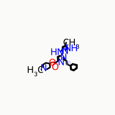 Cc1cc(Nc2cc(C(=O)OC3CCN(C)CC3)nc(/C=C/c3ccccc3)n2)n[nH]1